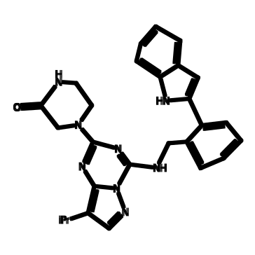 CC(C)c1cnn2c(NCc3ccccc3-c3cc4ccccc4[nH]3)nc(N3CCNC(=O)C3)nc12